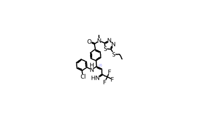 CCSc1nnc(N(C)C(=O)c2ccc(/C(=C/C(=N)C(F)(F)F)Nc3ccccc3Cl)cc2)s1